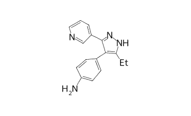 CCc1[nH]nc(-c2cccnc2)c1-c1ccc(N)cc1